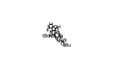 CC(C)(C)Nc1nc(-c2c(O)cccc2F)c(Cl)c2c1CN1CCN(C(=O)OC(C)(C)C)C[C@@H]1CO2